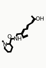 C=C\C(=C/C=C/C=C(\C)O)CNC(=O)C1CCCCN1C